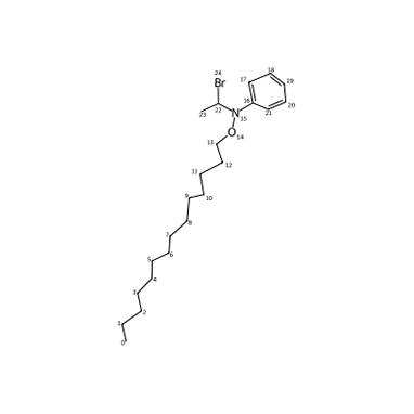 CCCCCCCCCCCCCCON(c1ccccc1)C(C)Br